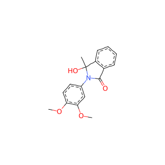 COc1ccc(N2C(=O)c3ccccc3C2(C)O)cc1OC